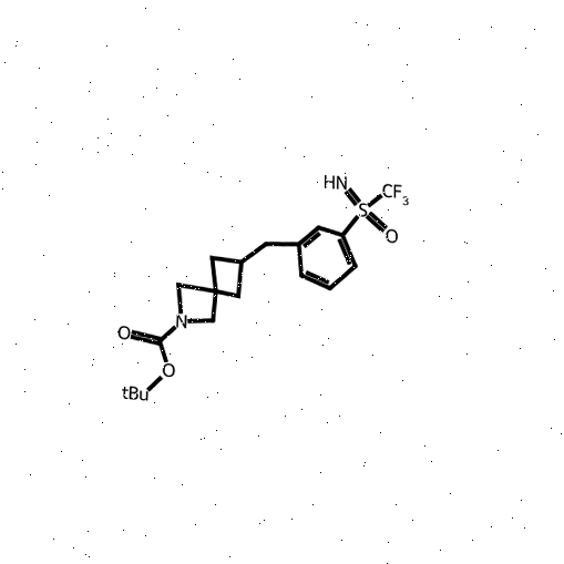 CC(C)(C)OC(=O)N1CC2(CC(Cc3cccc(S(=N)(=O)C(F)(F)F)c3)C2)C1